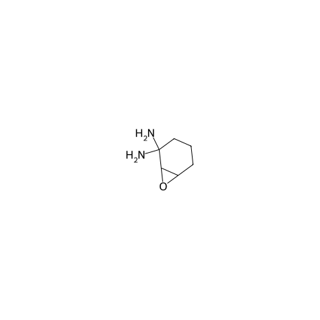 NC1(N)CCCC2OC21